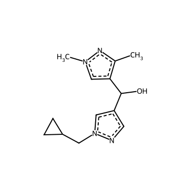 Cc1nn(C)cc1C(O)c1cnn(CC2CC2)c1